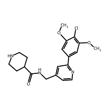 COc1cc(-c2cc(CNC(=O)C3CCNCC3)ccn2)cc(OC)c1Cl